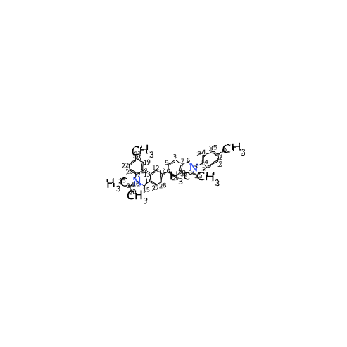 Cc1ccc(N(Cc2ccc(-c3ccc(CN(c4ccc(C)cc4)C(C)C)cc3)cc2)C(C)C)cc1